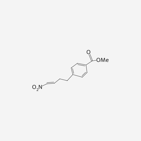 COC(=O)c1ccc(CCC=C[N+](=O)[O-])cc1